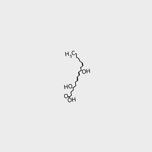 CCCCC/C=C\C[C@@H](O)/C=C/C=C/CC[C@H](O)CCCC(=O)O